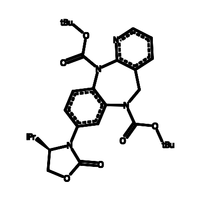 CC(C)[C@@H]1COC(=O)N1c1ccc2c(c1)N(C(=O)OC(C)(C)C)Cc1cccnc1N2C(=O)OC(C)(C)C